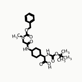 CN(CC(=O)NC1CCC([C@H](NC(=O)OC(C)(C)C)C(=O)O)CC1)C(=O)OCc1ccccc1